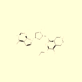 CCOc1nc(O[C@H]2C[C@@H](n3ccc4c(C)ncnc43)[C@H](O)[C@@H]2O)c2c(c1F)CCNC2